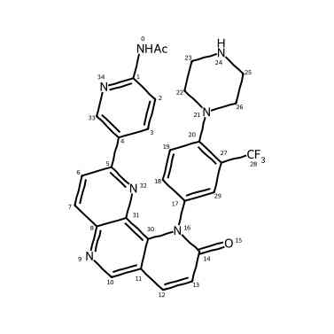 CC(=O)Nc1ccc(-c2ccc3ncc4ccc(=O)n(-c5ccc(N6CCNCC6)c(C(F)(F)F)c5)c4c3n2)cn1